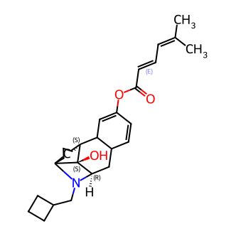 CC(C)=C/C=C/C(=O)OC1=CC2C(C=C1)C[C@H]1N(CC3CCC3)C34CCC[C@@]2(C3)[C@]14O